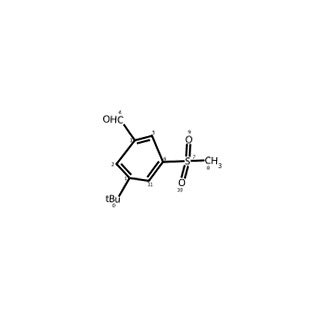 CC(C)(C)c1cc(C=O)cc(S(C)(=O)=O)c1